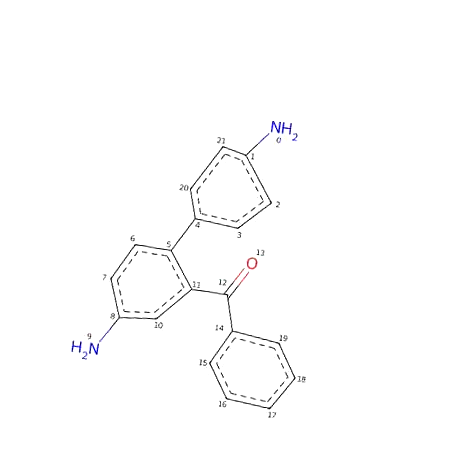 Nc1ccc(-c2ccc(N)cc2C(=O)c2ccccc2)cc1